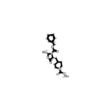 CC(C)(C)OC(=O)N1CCC(C[C@H]2C(=O)O[C@@H](C(C)(C)C)N2C(=O)OCc2ccccc2)CC1